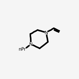 C=CN1CCN(CCC)CC1